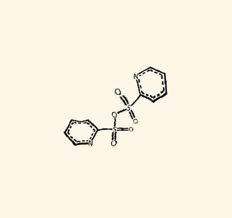 O=S(=O)(OS(=O)(=O)c1ccccn1)c1ccccn1